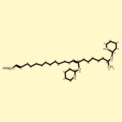 CCCCCCCC=CCCCCCCCCCCC=C(CCCCCC(C)OC1CCCCO1)OC1CCCCO1